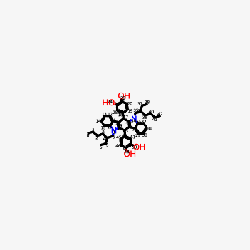 CCCCC(CC)Cn1c2c(c3ccccc31)C(c1ccc(O)c(O)c1)c1c(c3ccccc3n1CC(CC)CCCC)C2c1ccc(O)c(O)c1